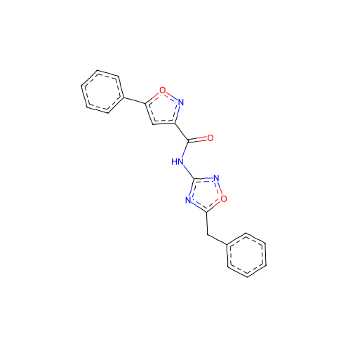 O=C(Nc1noc(Cc2ccccc2)n1)c1cc(-c2ccccc2)on1